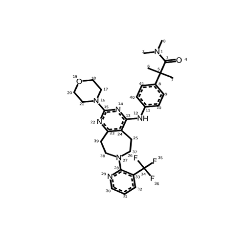 CN(C)C(=O)C(C)(C)c1ccc(Nc2nc(N3CCOCC3)nc3c2CCN(c2ncccc2C(F)(F)F)CC3)cc1